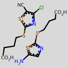 N#Cc1sc(SCCCC(=O)O)nc1Cl.Nc1cnc(SCCCC(=O)O)s1